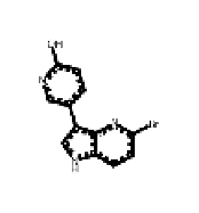 Oc1ccc(-c2c[nH]c3ccc(Br)nc23)cn1